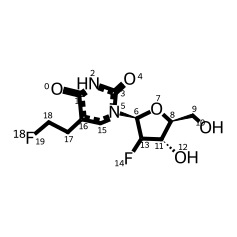 O=c1[nH]c(=O)n([C@H]2O[C@@H](CO)[C@H](O)C2F)cc1CC[18F]